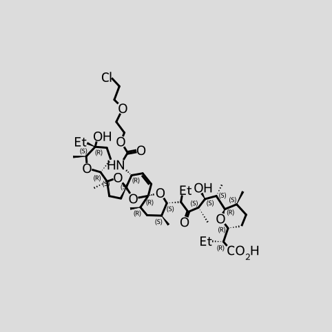 CCC(C(=O)[C@@H](C)[C@@H](O)[C@H](C)[C@@H]1O[C@@H]([C@@H](CC)C(=O)O)CC[C@@H]1C)[C@H]1O[C@]2(C=C[C@@H](NC(=O)OCCOCCCl)[C@]3(CC[C@@](C)([C@H]4CC[C@](O)(CC)[C@H](C)O4)O3)O2)[C@H](C)C[C@@H]1C